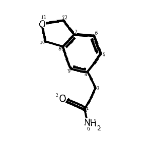 NC(=O)Cc1ccc2c(c1)COC2